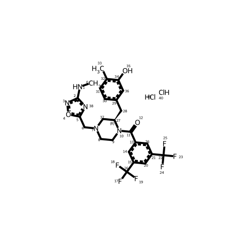 CNc1noc(CN2CCN(C(=O)c3cc(C(F)(F)F)cc(C(F)(F)F)c3)[C@H](Cc3ccc(C)c(O)c3)C2)n1.Cl.Cl